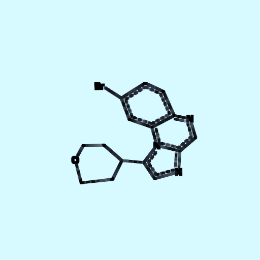 Brc1ccc2ncc3ncc(C4CCOCC4)n3c2c1